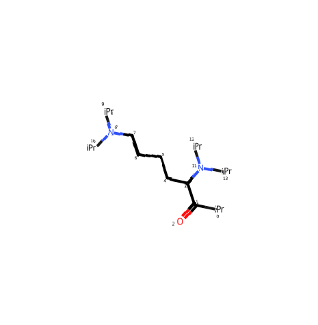 CC(C)C(=O)C(CCCCN(C(C)C)C(C)C)N(C(C)C)C(C)C